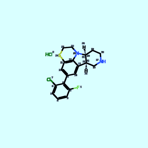 Cl.Fc1cccc(Cl)c1-c1cc2c3c(c1)[C@@H]1CNCC[C@@H]1N3CCS2